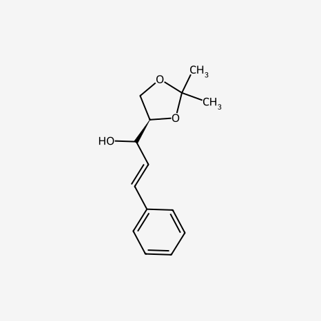 CC1(C)OC[C@H](C(O)/C=C/c2ccccc2)O1